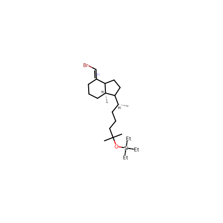 CC[Si](CC)(CC)OC(C)(C)CCC[C@@H](C)C1CCC2/C(=C/Br)CCC[C@@]21C